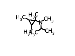 CC(C)N(C)C1(C)C(C)C1C